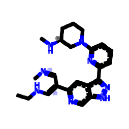 CCN/C=C(\C=N/C)c1cc2c(-c3cccc(N4CCC[C@H](NC)C4)n3)n[nH]c2cn1